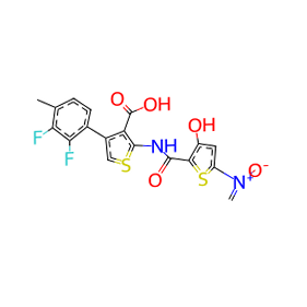 C=[N+]([O-])c1cc(O)c(C(=O)Nc2scc(-c3ccc(C)c(F)c3F)c2C(=O)O)s1